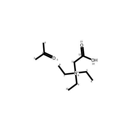 CC(C)=O.CC[N+](CC)(CC)CC(=O)O